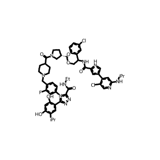 CCNC(=O)c1nnc(-c2cc(C(C)C)c(O)cc2O)n1-c1ccc(CN2CCC(C(=O)N3CC[C@H](C(=O)OCC(NC(=O)c4cc(-c5cc(NC(C)C)ncc5Cl)c[nH]4)c4cccc(Cl)c4)C3)CC2)c(F)c1